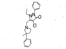 CCn1c(CN2CCC(C)(c3ccccc3)C2)c(Cl)c(=O)n1-c1ccccc1